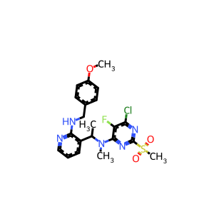 COc1ccc(CNc2ncccc2C(C)N(C)c2nc(S(C)(=O)=O)nc(Cl)c2F)cc1